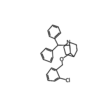 Clc1ccccc1COC1C2CCN(CC2)C1C(c1ccccc1)c1ccccc1